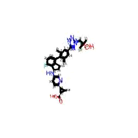 Cc1cc(-c2nnn(CC(C)(C)O)n2)cc(C)c1-c1ccc(F)c2c1CC[C@H]2Nc1ccc([C@@H]2C[C@H]2C(=O)O)nc1